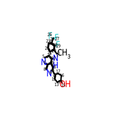 C[C@@H](Nc1ccnc2cnc(C3=CCC(O)CC3)cc12)c1cccc(C(F)F)c1F